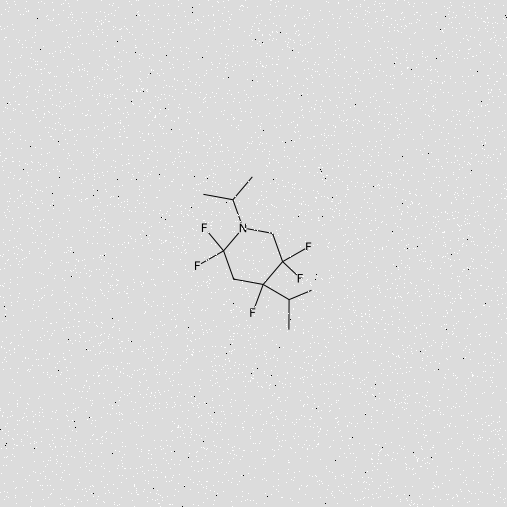 CC(C)N1CC(F)(F)C(F)(C(C)C)CC1(F)F